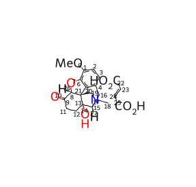 COc1ccc2c3c1O[C@H]1C(=O)CC[C@@]4(O)[C@@H](C2)N(C)CC[C@]314.O=C(O)/C=C/C(=O)O